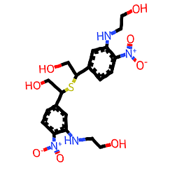 O=[N+]([O-])c1ccc(C(CO)SC(CO)c2ccc([N+](=O)[O-])c(NCCO)c2)cc1NCCO